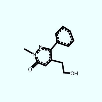 Cn1nc(-c2ccccc2)c(CCO)cc1=O